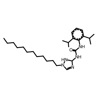 CCCCCCCCCCCCN1C=NC(NC(=O)Nc2c(C(C)C)cccc2C(C)C)N1